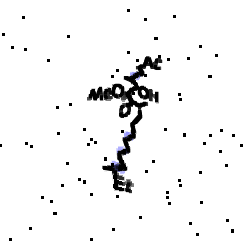 CC/C(C)=C/C=C/C=C/CCC(C)C(=O)[C@H](OC)C(O)/C(C)=C/CC(C)=O